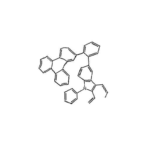 C=Cc1c(/C=C\C)c2cc(-c3ccccc3-c3ccc4c5ccccc5c5ccccc5c4c3)ccc2n1-c1ccccc1